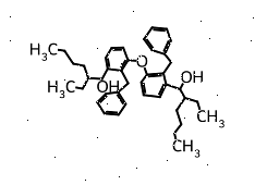 CCCCC(CC)C(O)c1cccc(Oc2cccc(C(O)C(CC)CCCC)c2Cc2ccccc2)c1Cc1ccccc1